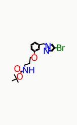 CC(C)(C)OC(=O)NCCCOc1cccc(Cn2cc(Br)cn2)c1